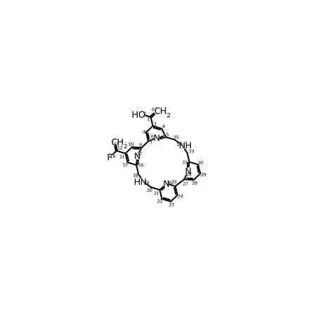 C=C(O)c1cc2nc(c1)-c1cc(C(=C)F)cc(n1)CNCc1cccc(n1)-c1cccc(n1)CNC2